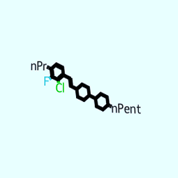 CCCCCC1CCC(C2CCC(/C=C/c3ccc(CCC)c(F)c3Cl)CC2)CC1